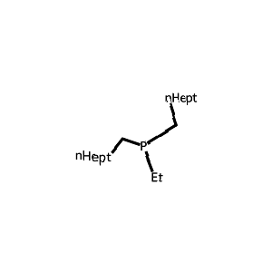 CCCCCCCCP(CC)CCCCCCCC